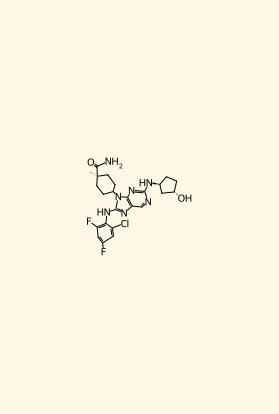 C[C@]1(C(N)=O)CC[C@@H](n2c(Nc3c(F)cc(F)cc3Cl)nc3cnc(N[C@H]4CC[C@H](O)C4)nc32)CC1